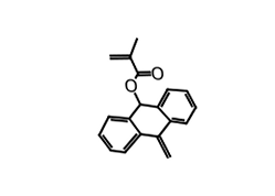 C=C(C)C(=O)OC1c2ccccc2C(=C)c2ccccc21